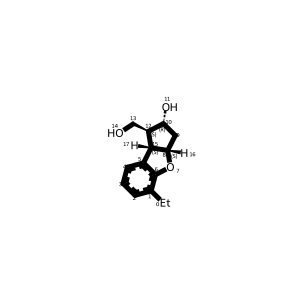 CCc1cccc2c1O[C@H]1C[C@@H](O)[C@H](CO)[C@@H]21